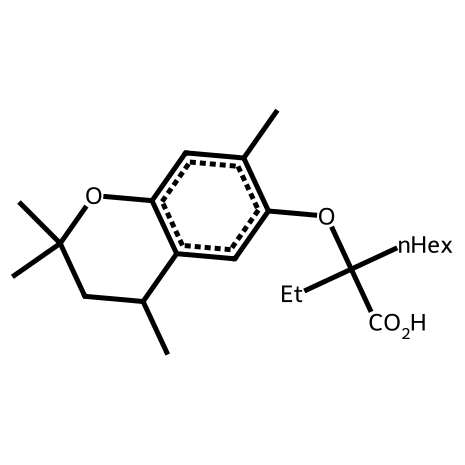 CCCCCCC(CC)(Oc1cc2c(cc1C)OC(C)(C)CC2C)C(=O)O